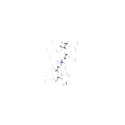 CC(O)C(C)(NC(=O)C(C)(C)/N=N/C(C)(C)C(=O)NC(C)(C(C)O)C(C)O)C(C)O